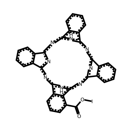 O=C(OI)c1cccc2c3nc4nc(nc5[nH]c(nc6nc(nc([nH]3)c12)-c1ccccc1-6)c1ccccc51)-c1ccccc1-4